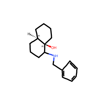 O[C@]12CCCC[C@@H]1CCCC2NCc1ccccc1